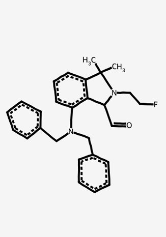 CC1(C)c2cccc(N(Cc3ccccc3)Cc3ccccc3)c2C(C=O)N1CCF